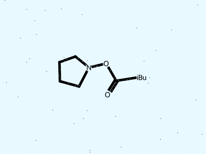 CCC(C)C(=O)ON1CCCC1